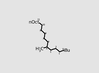 [CH2]CC(C)CCCC(C)CCCCCCCCCCCCC